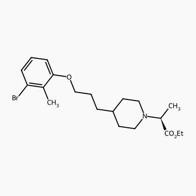 CCOC(=O)[C@H](C)N1CCC(CCCOc2cccc(Br)c2C)CC1